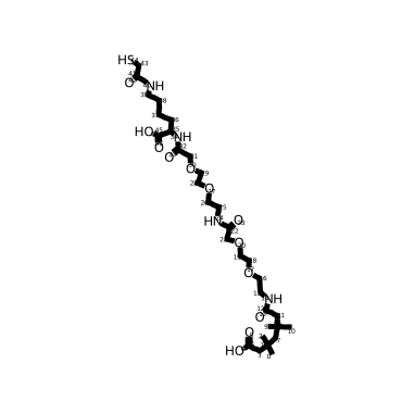 CC(C)(CC(=O)O)CC(C)(C)CC(=O)NCCOCCOCC(=O)NCCOCCOCC(=O)NC(CCCCNC(=O)CS)C(=O)O